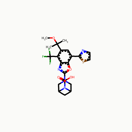 COC(C)(C)c1cc(-c2nccs2)c2oc(N3CC4CC(C3)N4C(=O)O)nc2c1C(F)(F)F